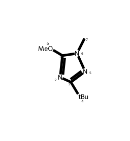 COc1nc(C(C)(C)C)nn1C